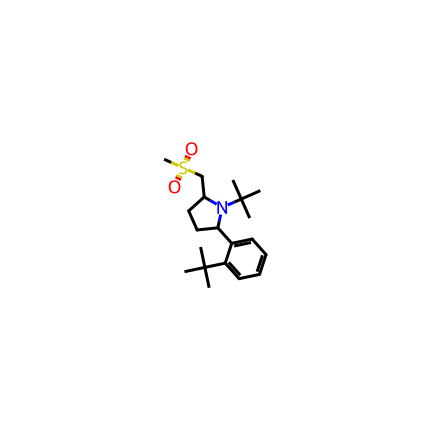 CC(C)(C)c1ccccc1C1CCC(CS(C)(=O)=O)N1C(C)(C)C